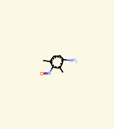 Cc1ccc(N)c(C)c1N=O